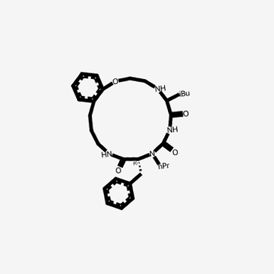 CCCN1C(=O)NC(=O)C(C(C)CC)NCCOc2ccccc2CCCNC(=O)[C@H]1Cc1ccccc1